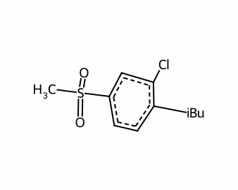 CCC(C)c1ccc(S(C)(=O)=O)cc1Cl